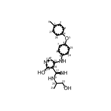 Cc1ccc(Oc2ccc(Nc3snc(O)c3C(=N)NC(C)CO)cc2)cc1